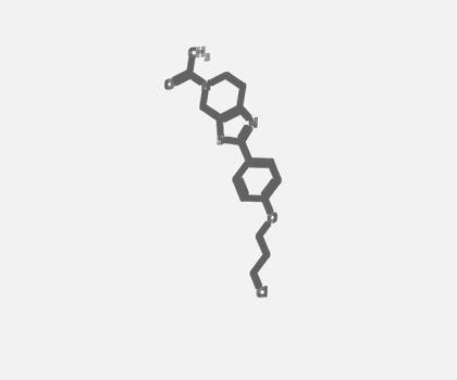 CC(=O)N1CCc2nc(-c3ccc(OCCCCl)cc3)sc2C1